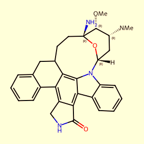 CN[C@@H]1C[C@H]2O[C@](N)(CCC3Cc4ccccc4-c4c5c(c6c7ccccc7n2c6c43)C(=O)NC5)[C@@H]1OC